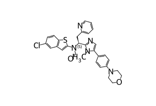 Cn1c(-c2ccc(N3CCOCC3)cc2)cnc1[C@H](Cc1ccccn1)N(C=O)c1cc2cc(Cl)ccc2s1